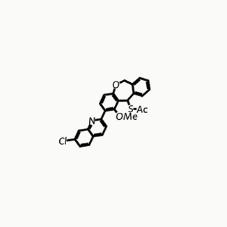 COc1c(-c2ccc3ccc(Cl)cc3n2)ccc2c1C(SC(C)=O)c1ccccc1CO2